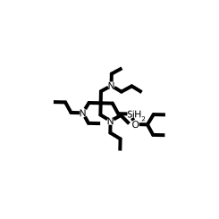 CCCN(CC)CC(CC[SiH2]OC(CC)CC)(CN(CC)CCC)CN(CC)CCC